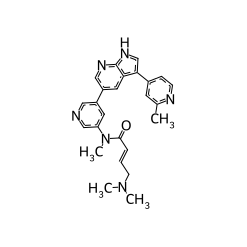 Cc1cc(-c2c[nH]c3ncc(-c4cncc(N(C)C(=O)/C=C/CN(C)C)c4)cc23)ccn1